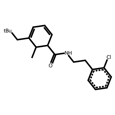 CC1C(CC(C)(C)C)=CC=CC1C(=O)NCCc1ccccc1Cl